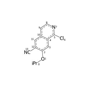 CC(C)Oc1cc2c(Cl)nccc2cc1C#N